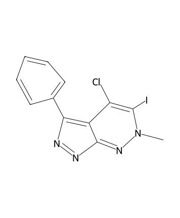 Cn1nc2nnc(-c3ccccc3)c-2c(Cl)c1I